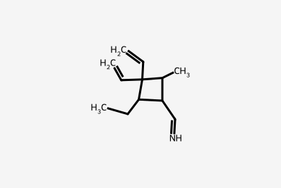 C=CC1(C=C)C(C)C(C=N)C1CC